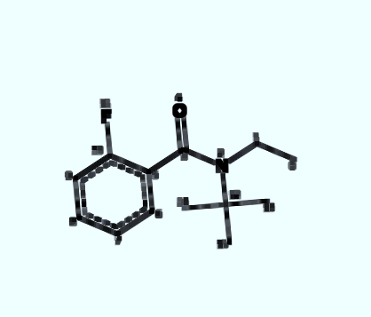 CCN(C(=O)c1ccccc1F)C(C)(C)C